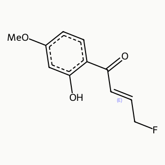 COc1ccc(C(=O)/C=C/CF)c(O)c1